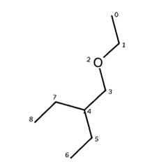 CCOC[C](CC)CC